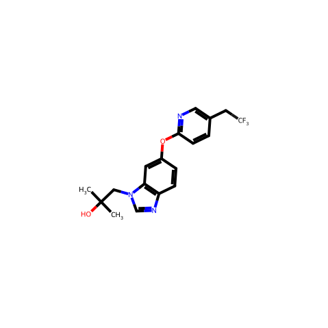 CC(C)(O)Cn1cnc2ccc(Oc3ccc(CC(F)(F)F)cn3)cc21